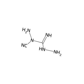 N#CN(N)C(=N)NN